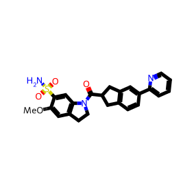 COc1cc2c(cc1S(N)(=O)=O)N(C(=O)C1Cc3ccc(-c4ccccn4)cc3C1)CC2